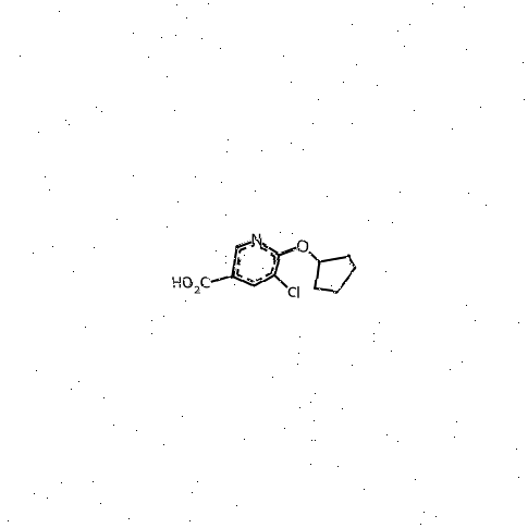 O=C(O)c1cnc(OC2CCCC2)c(Cl)c1